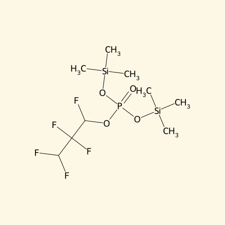 C[Si](C)(C)OP(=O)(OC(F)C(F)(F)C(F)F)O[Si](C)(C)C